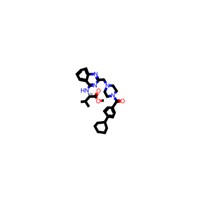 COC(=O)[C@@H](Nc1nc(CN2CCN(C(=O)c3ccc(C4CCCCC4)cc3)CC2)nc2ccccc12)C(C)C